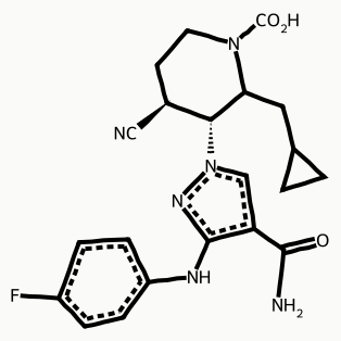 N#C[C@H]1CCN(C(=O)O)C(CC2CC2)[C@@H]1n1cc(C(N)=O)c(Nc2ccc(F)cc2)n1